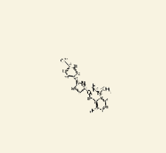 CN(N)c1cccc(F)c1COc1ccn(-c2ccc(Cl)cc2)n1